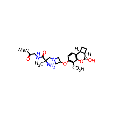 CNC(=O)CNC(=O)C(C)(N)CN1CC(Oc2ccc3c(c2C(=O)O)OB(O)[C@@H]2CC[C@H]32)C1